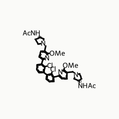 COc1nc(-c2cccc(-c3cccc(-c4ccc(CN5CC[C@@H](NC(C)=O)C5)c(OC)n4)c3Cl)c2Cl)ccc1CN1CC[C@@H](NC(C)=O)C1